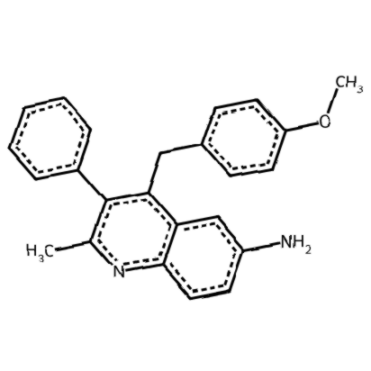 COc1ccc(Cc2c(-c3ccccc3)c(C)nc3ccc(N)cc23)cc1